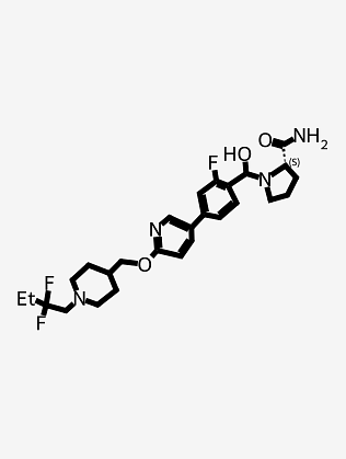 CCC(F)(F)CN1CCC(COc2ccc(-c3ccc(C(O)N4CCC[C@H]4C(N)=O)c(F)c3)cn2)CC1